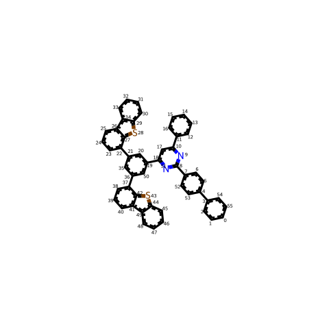 c1ccc(-c2ccc(-c3nc(-c4ccccc4)cc(-c4cc(-c5cccc6c5sc5ccccc56)cc(-c5cccc6c5sc5ccccc56)c4)n3)cc2)cc1